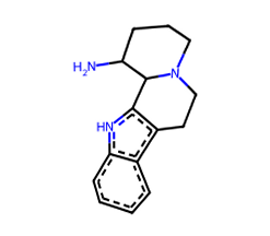 NC1CCCN2CCc3c([nH]c4ccccc34)C12